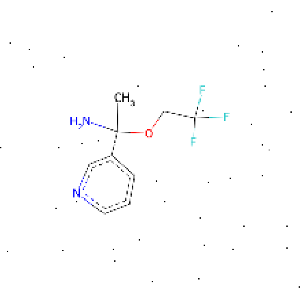 CC(N)(OCC(F)(F)F)c1cccnc1